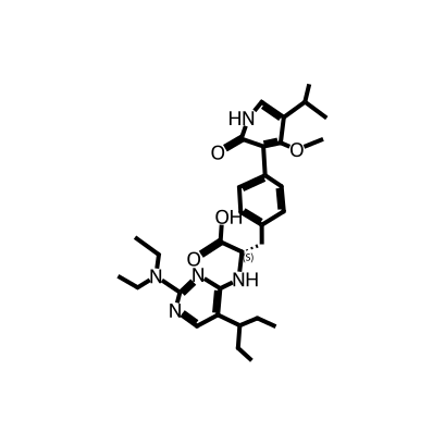 CCC(CC)c1cnc(N(CC)CC)nc1N[C@@H](Cc1ccc(-c2c(OC)c(C(C)C)c[nH]c2=O)cc1)C(=O)O